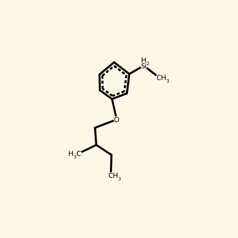 CCC(C)COc1cccc([SiH2]C)c1